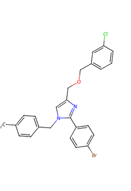 O=C(O)c1ccc(Cn2cc(COCc3cccc(Cl)c3)nc2-c2ccc(Br)cc2)cc1